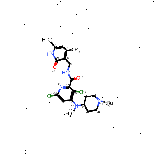 Cc1cc(C)c(CNC(=O)c2nc(Cl)cc(N(C)C3CCN(C(C)(C)C)CC3)c2Cl)c(=O)[nH]1